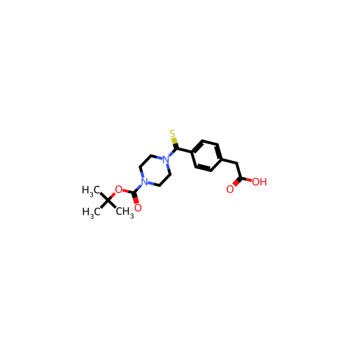 CC(C)(C)OC(=O)N1CCN(C(=S)c2ccc(CC(=O)O)cc2)CC1